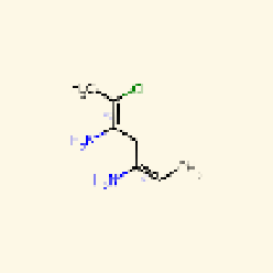 C/C=C(/N)C/C(N)=C(/C)Cl